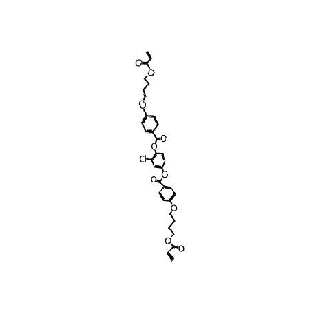 C=CC(=O)OCCCCOc1ccc(C(=O)Oc2ccc(OC(=O)c3ccc(OCCCCOC(=O)C=C)cc3)c(Cl)c2)cc1